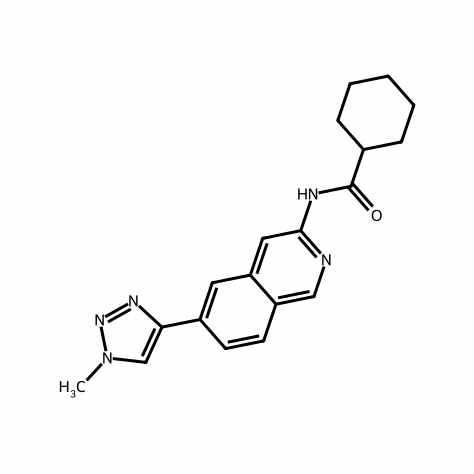 Cn1cc(-c2ccc3cnc(NC(=O)C4CCCCC4)cc3c2)nn1